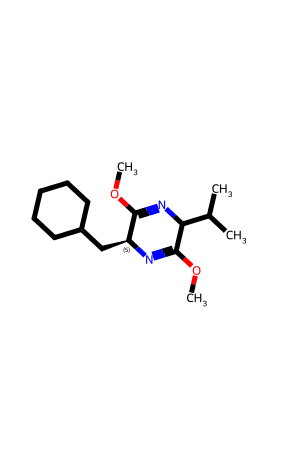 COC1=N[C@@H](CC2CCCCC2)C(OC)=NC1C(C)C